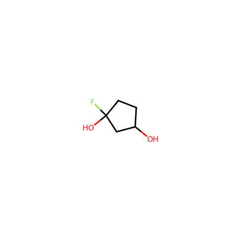 OC1CCC(O)(F)C1